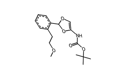 COCCc1ccccc1C1OC=C(NC(=O)OC(C)(C)C)O1